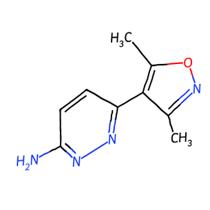 Cc1noc(C)c1-c1ccc(N)nn1